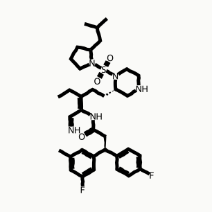 CC/C(CC[C@H]1CNCCN1S(=O)(=O)N1CCCC1CC(C)C)=C(\C=N)NC(=O)C[C@@H](c1ccc(F)cc1)c1cc(C)cc(F)c1